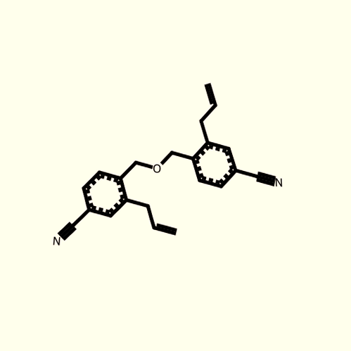 C=CCc1cc(C#N)ccc1COCc1ccc(C#N)cc1CC=C